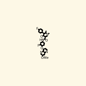 COc1cnc2c(Oc3ccc(NC(=O)c4cn(C)c(C)c(-c5ccc(F)cc5)c4=O)cc3F)ccnc2c1